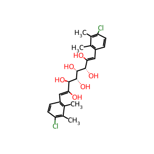 Cc1c(Cl)ccc(C=C(O)[C@@H](O)[C@@H](O)[C@H](O)[C@@H](O)C(O)=Cc2ccc(Cl)c(C)c2C)c1C